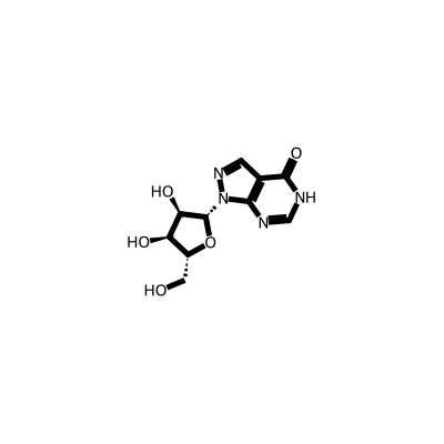 O=c1[nH]cnc2c1cnn2[C@@H]1O[C@H](CO)[C@@H](O)[C@H]1O